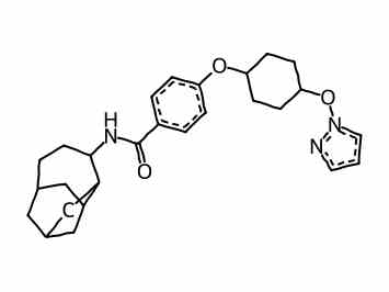 O=C(NC1CCC2CC3CC(C2)C1C3)c1ccc(OC2CCC(On3cccn3)CC2)cc1